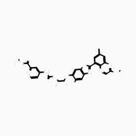 CNC(=O)c1cc(NC(=O)O[C@H](C)[C@H](C)Oc2cc3sc(-c4cc(C)cc5nc(OC)cnc45)nc3cc2F)ccn1